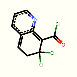 O=C(Cl)C1=c2ncccc2=CCC1(Cl)Cl